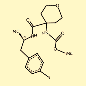 CC(C)(C)OC(=O)NC1(C(=O)N[C@H](C#N)Cc2ccc(I)cc2)CCOCC1